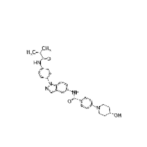 CC(C)C(=O)Nc1ccc(-n2ncc3cc(NC(=O)c4ccc(N5CCC(O)CC5)cc4)ccc32)cc1